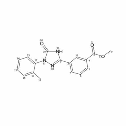 COC(=O)c1cccc(-c2nn(-c3ccccc3C)c(=O)[nH]2)c1